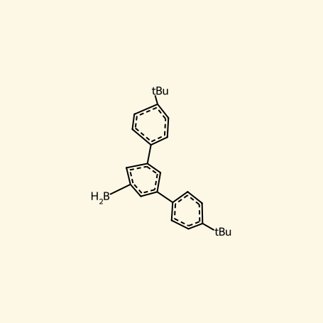 Bc1cc(-c2ccc(C(C)(C)C)cc2)cc(-c2ccc(C(C)(C)C)cc2)c1